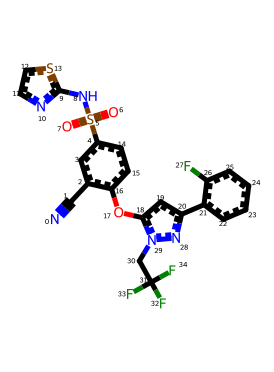 N#Cc1cc(S(=O)(=O)Nc2nccs2)ccc1Oc1cc(-c2ccccc2F)nn1CC(F)(F)F